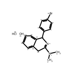 CN(C)C1=NC(c2ccc(Br)cc2)c2ccccc2C1.Cl.O